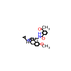 COc1ccc2c(c1)[C@@]1(CCNC(=O)c3cccc(C(C)=O)c3)CCN(CC3CC3)[C@H](C2)[C@@H]1C